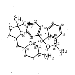 CC1(C)OCC(C[C@@H]2CCC(N)[C@@H](C(O[SiH2]C(C)(C)C)(c3ccccc3)c3ccccc3)O2)O1